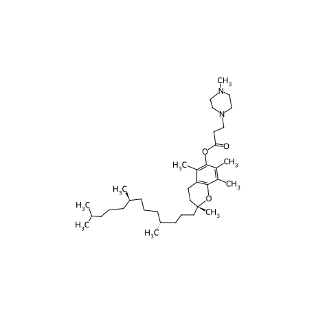 Cc1c(C)c2c(c(C)c1OC(=O)CCN1CCN(C)CC1)CC[C@@](C)(CCC[C@H](C)CCC[C@H](C)CCCC(C)C)O2